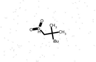 CCC(C)C(C)(C)C[SH](=O)=O